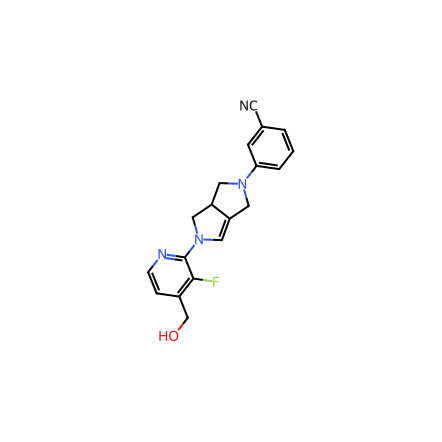 N#Cc1cccc(N2CC3=CN(c4nccc(CO)c4F)CC3C2)c1